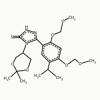 COCOc1cc(OCOC)c(C(C)C)cc1-c1n[nH]c(=S)n1C1COC(C)(C)OC1